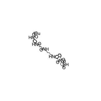 CC(C)(C)OC(=O)Nc1ccc(NC(=O)/C=C/C(=O)NCCCCCCNc2cc3c4c(cccc4c2)C(=O)N(C2CCC(=O)NC2=O)C3=O)cc1